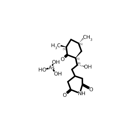 C[C@@H]1C[C@@H]([C@H](O)CC2CC(=O)NC(=O)C2)C(=O)[C@@H](C)C1.O[As](O)O